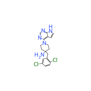 NC1(Cc2cc(Cl)ccc2Cl)CCN(c2ncnc3[nH]ccc23)CC1